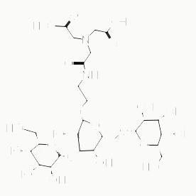 CC(=O)CN(CC(C)=O)CC(=O)NCCO[C@H]1O[C@H](CO[C@H]2O[C@H](CO)[C@@H](O)[C@H](O)[C@@H]2O)[C@@H](O)[C@H](O[C@H]2O[C@H](CO)[C@@H](O)[C@H](O)[C@@H]2O)[C@@H]1O